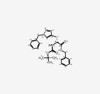 CC(C)(C)OC(=O)N[C@H](Cc1cn(Cc2ccccc2)nn1)C(=O)OCc1ccccc1